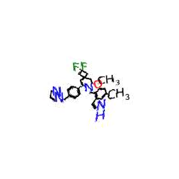 COc1cc(C)c2[nH]ccc2c1CN1CCC2(C[C@@H]1c1ccc(Cn3cccn3)cc1)CC(F)(F)C2